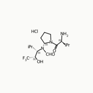 CC(C)[C@H](N)C(=O)N1CCC[C@H]1N(C=O)[C@@H](C(C)C)[C@H](O)C(F)(F)F.Cl